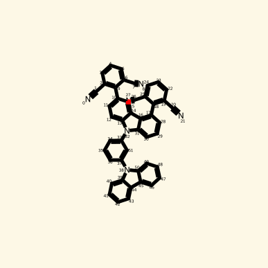 N#Cc1cccc(C#N)c1-c1ccc2c(c1)c1c(-c3c(C#N)cccc3C#N)cccc1n2-c1cccc(-n2c3ccccc3c3ccccc32)c1